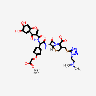 CN(C)CCn1nnnc1SCC1=C(C(=O)[O-])N2C(=O)[C@@H](NC(=O)C(NC(=O)c3coc4cc(O)c(O)cc4c3=O)c3ccc(OCC(=O)[O-])cc3)[C@@H]2SC1.[Na+].[Na+]